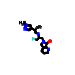 CCC/C(=C\N=C(/CF)CN1Cc2cccnc2C1=O)c1cnn(C)c1